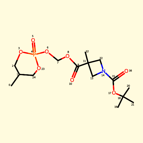 CC1COP(=O)(OCOC(=O)C2(C)CN(C(=O)OC(C)(C)C)C2)OC1